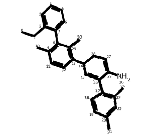 CCc1ccccc1-c1c(C)ccc(C2C=C(c3ccc(C)cc3C)C(N)=CC2)c1C